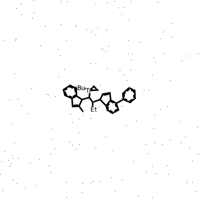 CCC[CH2][Ti]1([CH](C2C(C)=Cc3ccccc32)C(CC)C2C=Cc3c(-c4ccccc4)cccc32)[CH2][CH2]1